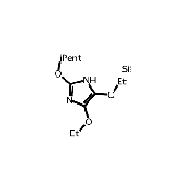 CCCC(C)Oc1nc(OCC)c(OCC)[nH]1.[Si]